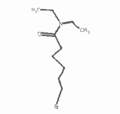 CCN(CC)C(=O)CCCCCBr